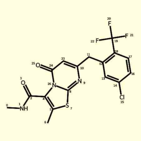 CNC(=O)c1c(C)sc2nc(Cc3cc(Cl)ccc3C(F)(F)F)cc(=O)n12